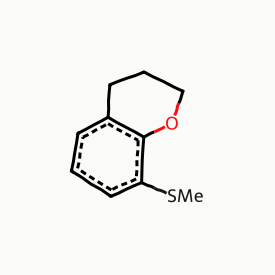 CSc1cccc2c1OCCC2